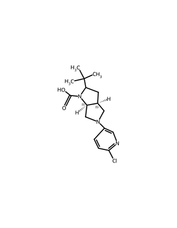 CC(C)(C)C1C[C@H]2CN(c3ccc(Cl)nc3)C[C@H]2N1C(=O)O